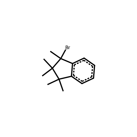 CC1(C)c2ccccc2C(C)(Br)C1(C)C